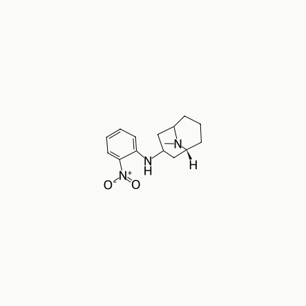 CN1C2CCC[C@@H]1CC(Nc1ccccc1[N+](=O)[O-])C2